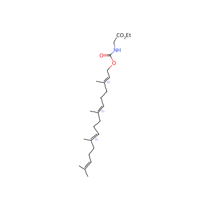 CCOC(=O)CNC(=O)OC/C=C(\C)CC/C=C(\C)CC/C=C(\C)CCC=C(C)C